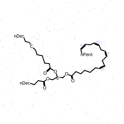 CCCCC/C=C\C/C=C\C/C=C\C/C=C\CCCCCC(=O)OC[C@@H](COC(=O)CCCCCCCCCCCC)OC(=O)CCCCCCCCCCCCCCCCCC